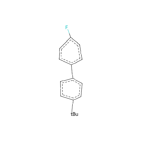 CC(C)(C)c1ccc(-c2ccc(F)cc2)cc1